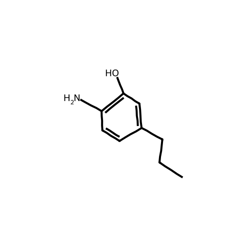 CCCc1ccc(N)c(O)c1